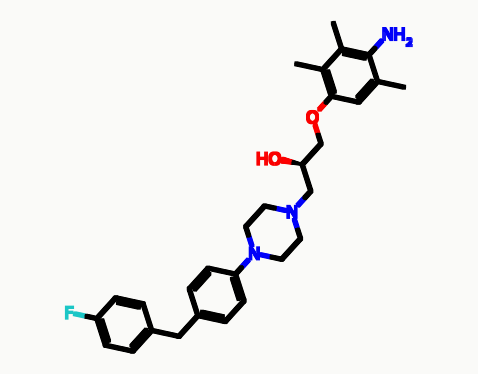 Cc1cc(OC[C@H](O)CN2CCN(c3ccc(Cc4ccc(F)cc4)cc3)CC2)c(C)c(C)c1N